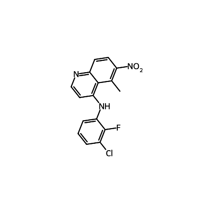 Cc1c([N+](=O)[O-])ccc2nccc(Nc3cccc(Cl)c3F)c12